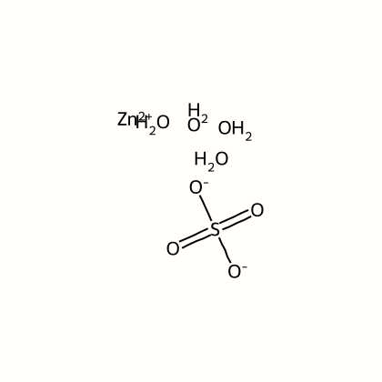 O.O.O.O.O=S(=O)([O-])[O-].[Zn+2]